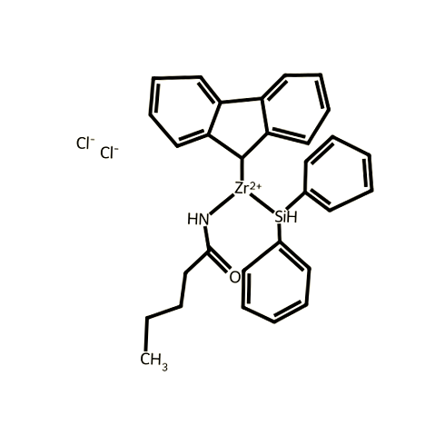 CCCCC(=O)[NH][Zr+2]([CH]1c2ccccc2-c2ccccc21)[SiH](c1ccccc1)c1ccccc1.[Cl-].[Cl-]